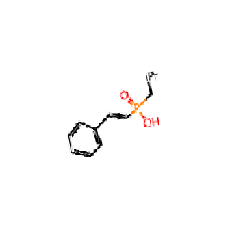 CC(C)CP(=O)(O)C=Cc1ccccc1